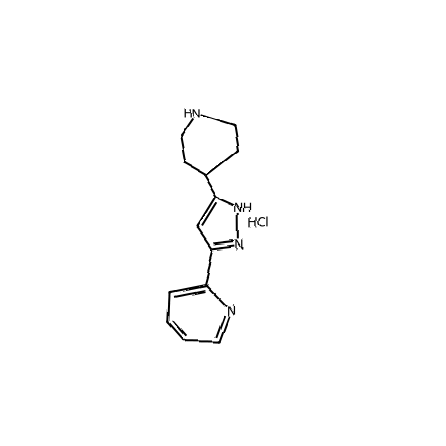 Cl.c1ccc(-c2cc(C3CCNCC3)[nH]n2)nc1